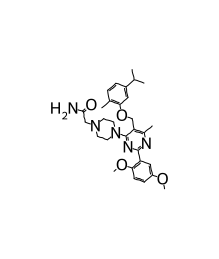 COc1ccc(OC)c(-c2nc(C)c(COc3cc(C(C)C)ccc3C)c(N3CCN(CC(N)=O)CC3)n2)c1